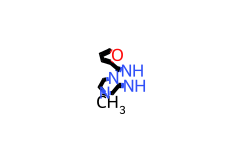 CN1CCN(C(=N)c2ccco2)C(=N)C1